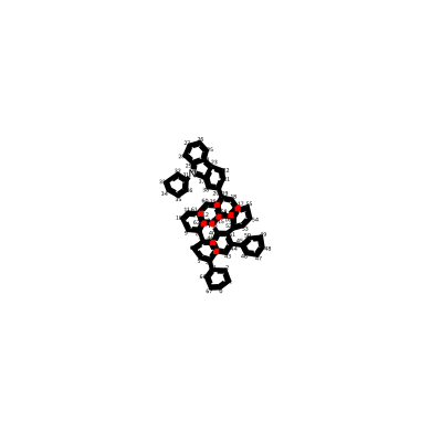 c1ccc(-c2ccc(-c3ccccc3N(c3cccc(-c4ccc5c6ccccc6n(-c6ccccc6)c5c4)c3)c3cccc(-c4ccccc4)c3-c3ccccc3-c3ccccc3)cc2)cc1